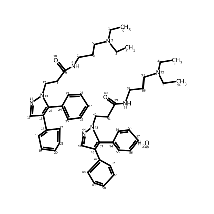 CCN(CC)CCCNC(=O)CCn1ncc(-c2ccccc2)c1-c1ccccc1.CCN(CC)CCCNC(=O)CCn1ncc(-c2ccccc2)c1-c1ccccc1.O